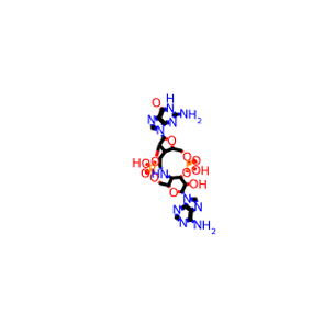 Nc1nc2c(ncn2C2OC3COP(=O)(O)OC4C(O)C(n5cnc6c(N)ncnc65)OC5COP(=O)(O)OC2C3CCNC54)c(=O)[nH]1